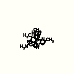 Cc1ccc(-n2nccn2)c(C(=O)N2C3CC(C3)[C@H](C)[C@@H]2c2ccc3oc(N)nc3c2C)n1